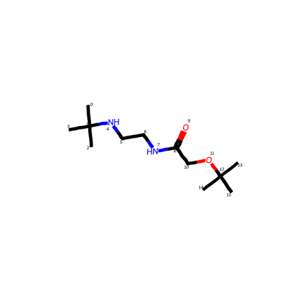 CC(C)(C)NCCNC(=O)COC(C)(C)C